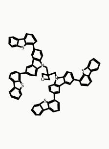 c1ccc2c(c1)sc1c(-c3ccc4c(c3)c3cc(-c5cccc6c5sc5ccccc56)ccc3n4CC3(Cn4c5ccc(-c6cccc7c6sc6ccccc67)cc5c5cc(-c6cccc7c6sc6ccccc67)ccc54)COC3)cccc12